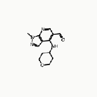 Cn1ncc2c(NC3CCOCC3)c(C=O)cnc21